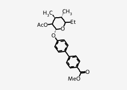 CCC1O[C@H](Oc2ccc(-c3ccc(C(=O)OC)cc3)cc2)C(OC(C)=O)[C@@H](C)[C@@H]1C